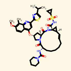 COc1ccc2c(O[C@@H]3C[C@H]4C(=O)N[C@]5(C(=O)NS(=O)(=O)C6CC6)C[C@H]5/C=C/CCCCC[C@H](NC(=O)N5CCCCC5)C(=O)N4C3)cc(-c3nc(C(C)C)cs3)nc2c1C